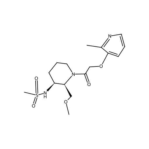 COC[C@H]1[C@@H](NS(C)(=O)=O)CCCN1C(=O)COc1cccnc1C